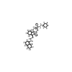 O=C(CCc1ccccc1)N1CCC(C(=O)/C=C/CCc2cccc3ccccc23)(c2ccccc2)CC1